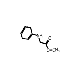 COC(=O)CNC1=CCC=CC1